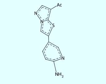 CC(=O)c1cnn2cc(-c3ccc(N)nc3)sc12